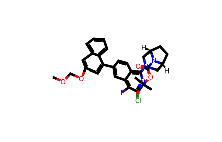 COCOc1cc(-c2ccc3c(N4C[C@H]5CC[C@@H](C4)N5C(=O)OC(C)(C)C)nc(Cl)c(I)c3c2)c2ccccc2c1